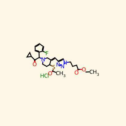 CCOC(=O)CCCn1cc(/C=C2/CN(C(C(=O)C3CC3)c3ccccc3F)CCC2SC(C)=O)nn1.Cl